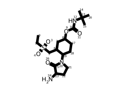 CCS(=O)(=O)CC1CC(OC(=O)NC(C)(C)C)CCC1N1CCC(N)C1=O